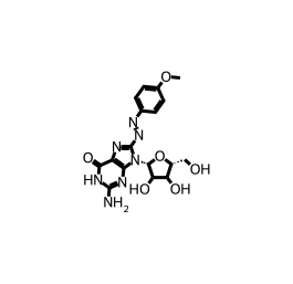 COc1ccc(/N=N/c2nc3c(=O)[nH]c(N)nc3n2[C@@H]2O[C@H](CO)C(O)C2O)cc1